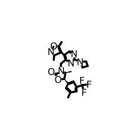 Cc1cc([C@H]2OC(=O)N(Cc3nc(N4CCC4)ncc3-c3c(C)noc3C)[C@H]2C)cc(C(F)(F)F)c1